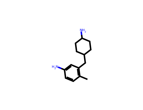 Cc1ccc(N)cc1CC1CCC(N)CC1